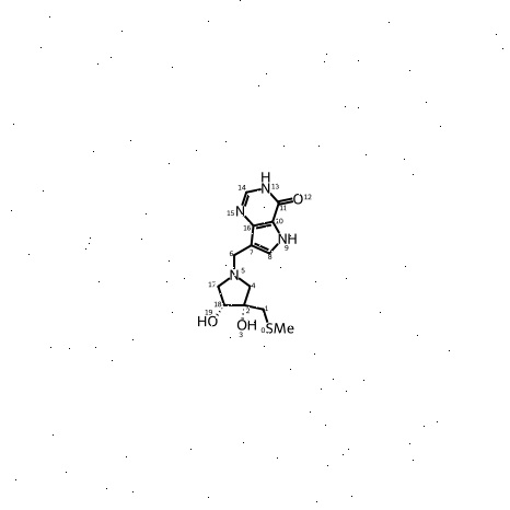 CSC[C@]1(O)CN(Cc2c[nH]c3c(=O)[nH]cnc23)C[C@H]1O